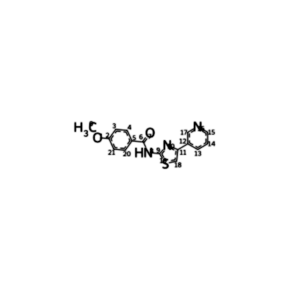 COc1ccc(C(=O)Nc2nc(-c3cccnc3)cs2)cc1